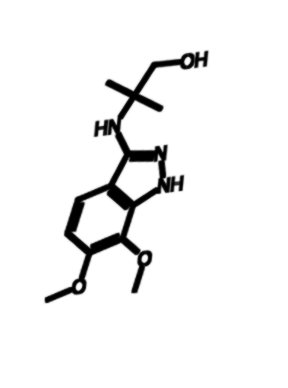 COc1ccc2c(NC(C)(C)CO)n[nH]c2c1OC